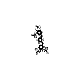 CC(=O)Oc1ccc(Cc2cccc(Cc3ccc(OC(C)=O)c(OC(C)=O)c3)n2)cc1OC(C)=O